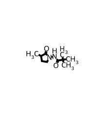 CC1CCN(NC(=O)C(C)(C)C)C1=O